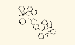 C[N+]1(C)c2ccccc2C(c2ccc3cc(C4=C(c5ccccc5)[B-](c5ccccc5)(c5ccccc5)[N+](C)(C)c5ccccc54)ccc3c2)=C(c2ccccc2)[B-]1(c1ccccc1)c1ccccc1